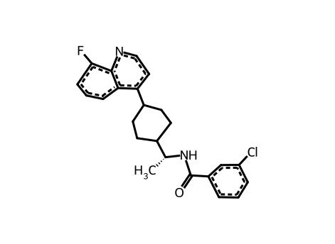 C[C@@H](NC(=O)c1cccc(Cl)c1)C1CCC(c2ccnc3c(F)cccc23)CC1